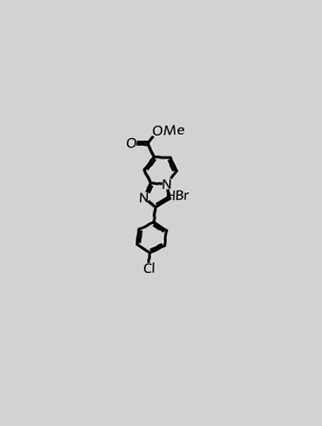 Br.COC(=O)c1ccn2cc(-c3ccc(Cl)cc3)nc2c1